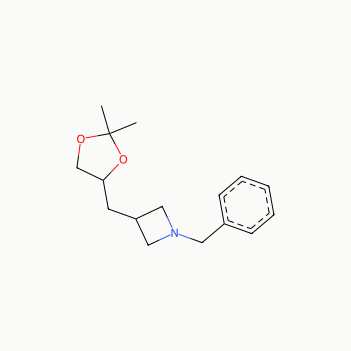 CC1(C)OCC(CC2CN(Cc3ccccc3)C2)O1